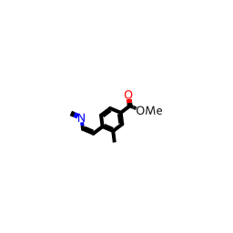 C=N/C=C\c1ccc(C(=O)OC)cc1C